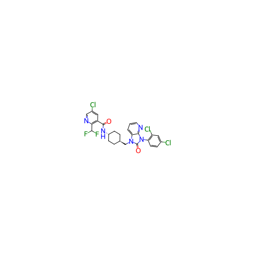 O=C(N[C@H]1CC[C@H](Cn2c(=O)n(-c3ccc(Cl)cc3Cl)c3ncccc32)CC1)c1cc(Cl)cnc1C(F)F